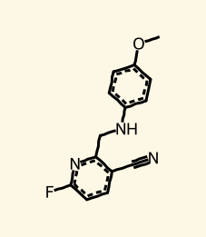 COc1ccc(NCc2nc(F)ccc2C#N)cc1